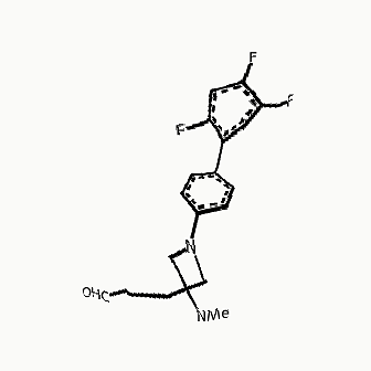 CNC1(CCC=O)CN(c2ccc(-c3cc(F)c(F)cc3F)cc2)C1